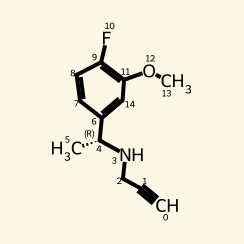 C#CCN[C@H](C)c1ccc(F)c(OC)c1